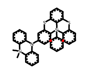 C[Si]1(C)c2ccccc2N(c2ccc3c(c2)Sc2cccc4c2[Si]3(c2ccccc2)c2ccccc2S4)c2ccccc21